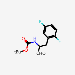 CC(C)(C)OC(=O)NC(C=O)Cc1cc(F)ccc1F